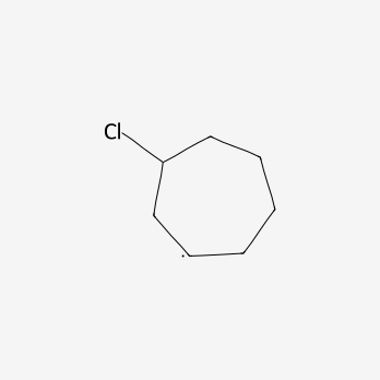 ClC1C[CH]CCCC1